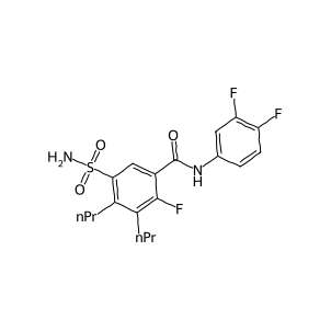 CCCc1c(S(N)(=O)=O)cc(C(=O)Nc2ccc(F)c(F)c2)c(F)c1CCC